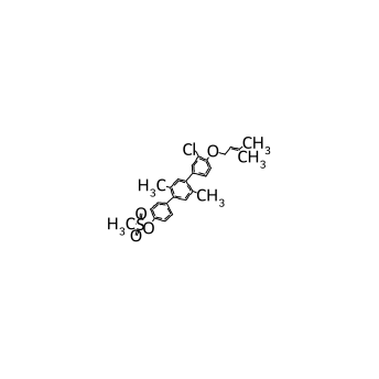 CC(C)=CCOc1ccc(-c2cc(C)c(-c3ccc(OS(C)(=O)=O)cc3)cc2C)cc1Cl